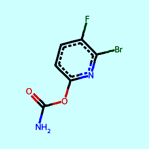 NC(=O)Oc1ccc(F)c(Br)n1